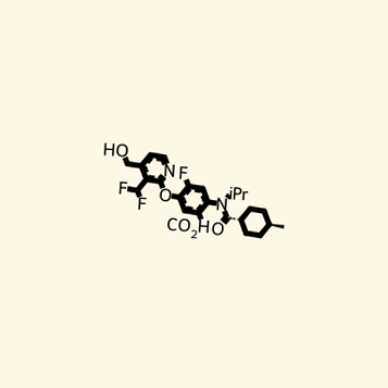 CC(C)N(c1cc(F)c(Oc2nccc(CO)c2C(F)F)cc1C(=O)O)C(=O)[C@H]1CC[C@H](C)CC1